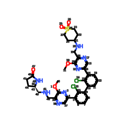 COc1nc(-c2cccc(-c3cccc(-c4cnc(CNC5CCS(=O)(=O)CC5)c(OC)n4)c3Cl)c2Cl)cnc1CNC[C@@H]1CCC(=O)N1